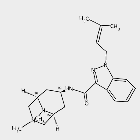 CC(C)=CCn1nc(C(=O)N[C@@H]2C[C@@H]3CN(C)C[C@H](C2)N3C)c2ccccc21